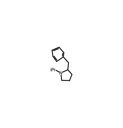 CC(C)N1CCCC1Cc1ccccc1